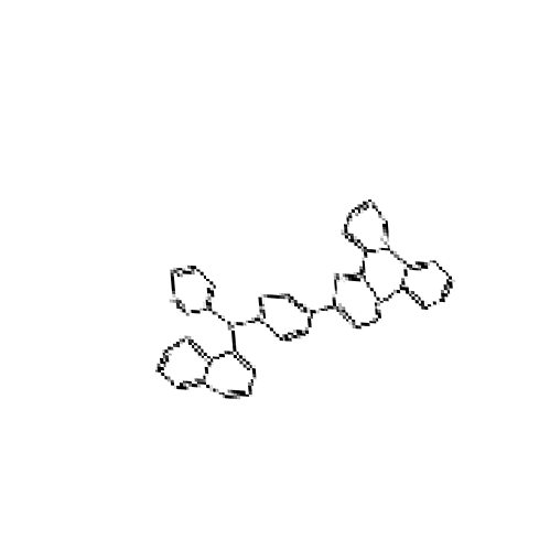 c1ccc(N(c2ccc(-c3ccc4c5ccccc5c5ccccc5c4c3)cc2)c2cccc3ccccc23)cc1